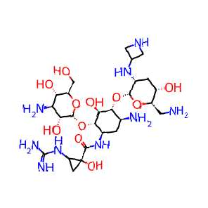 N=C(N)NC1CC1(O)C(=O)N[C@@H]1C[C@H](N)[C@@H](O[C@H]2O[C@H](CN)[C@@H](O)C[C@H]2NC2CNC2)[C@H](O)[C@H]1O[C@H]1O[C@H](CO)[C@@H](O)[C@H](N)[C@H]1O